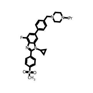 CC(C)N1CCN(Cc2ccc(-c3cc(F)c4nc(-c5ccc(S(C)(=O)=O)cc5)n(C5CC5)c4c3)cc2)CC1